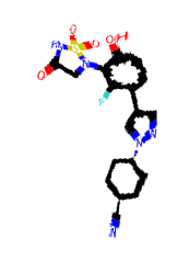 N#C[C@H]1CC[C@H](n2cc(-c3ccc(O)c(N4CC(=O)NS4(=O)=O)c3F)cn2)CC1